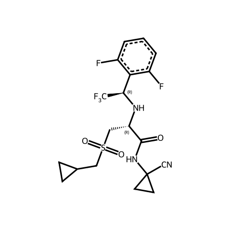 N#CC1(NC(=O)[C@H](CS(=O)(=O)CC2CC2)N[C@H](c2c(F)cccc2F)C(F)(F)F)CC1